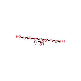 C=CC(=O)O.OCCOCCOCCOCCOCCOCCOCCOCCO